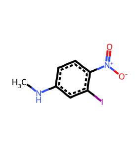 CNc1ccc([N+](=O)[O-])c(I)c1